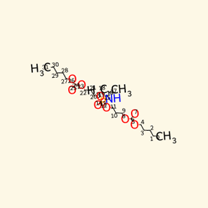 CCCCCOC(=O)OCCCOP(=O)(NC(C)C)OCCCOC(=O)OCCCCC